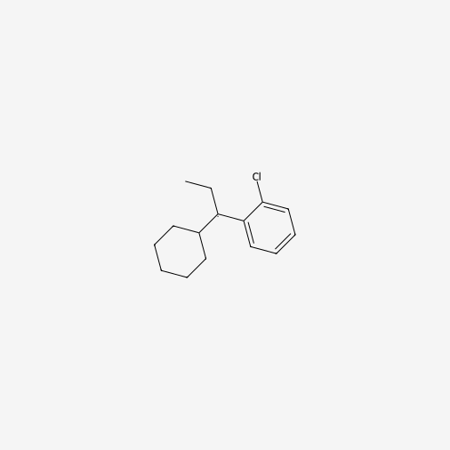 CC[C](c1ccccc1Cl)C1CCCCC1